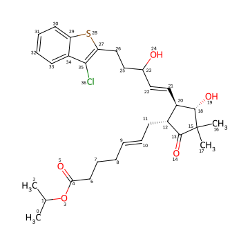 CC(C)OC(=O)CCCC=CC[C@H]1C(=O)C(C)(C)[C@@H](O)[C@@H]1C=CC(O)CCc1sc2ccccc2c1Cl